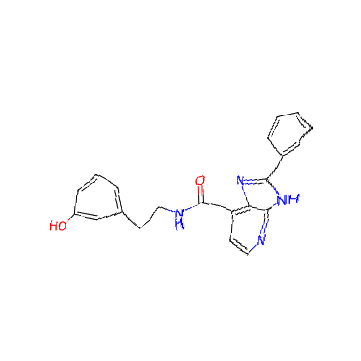 O=C(NCCc1cccc(O)c1)c1ccnc2[nH]c(-c3ccccc3)nc12